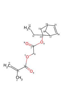 C=C(C)C(=O)OCC(=O)OC1(CC)CC2C=CC1C2